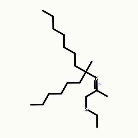 CCCCCCCC(C)(CCCCCC)/N=C(/C)CSCC